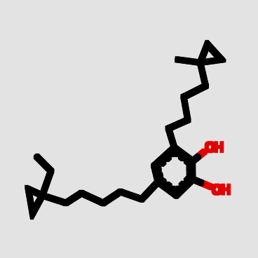 CCC1(CCCCCc2cc(O)c(O)c(CCCCC3(C)CC3)c2)CC1